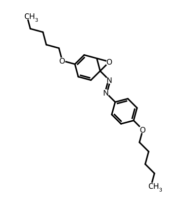 CCCCCOC1=CC2OC2(N=Nc2ccc(OCCCCC)cc2)C=C1